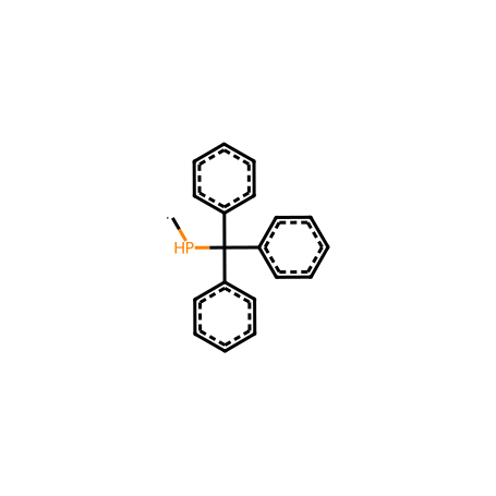 [CH2]PC(c1ccccc1)(c1ccccc1)c1ccccc1